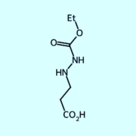 CCOC(=O)NNCCC(=O)O